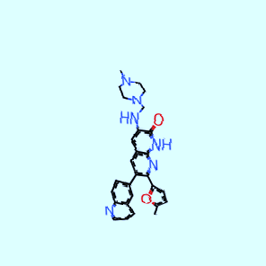 Cc1ccc(-c2nc3[nH]c(=O)c(NCN4CCN(C)CC4)cc3cc2-c2ccc3ncccc3c2)o1